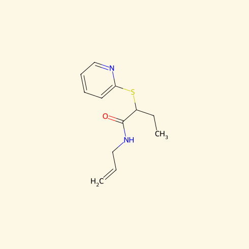 C=CCNC(=O)C(CC)Sc1ccccn1